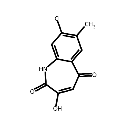 Cc1cc2c(=O)cc(O)c(=O)[nH]c2cc1Cl